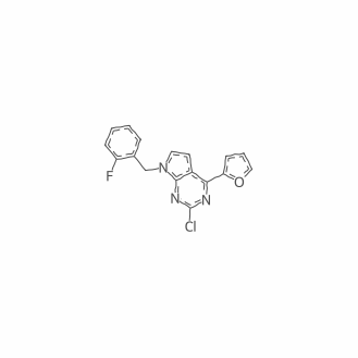 Fc1ccccc1Cn1ccc2c(-c3ccco3)nc(Cl)nc21